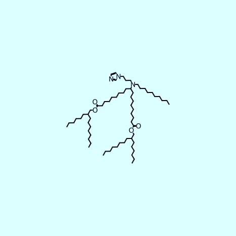 CCCCCCCCCCN(CCCn1ccnc1)C(CCCCCCCCC(=O)OCC(CCCCCC)CCCCCCCC)CCCCCCCCC(=O)OCC(CCCCCC)CCCCCCCC